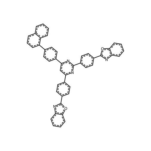 c1ccc2c(-c3ccc(-c4cc(-c5ccc(-c6nc7ccccc7o6)cc5)nc(-c5ccc(-c6nc7ccccc7o6)cc5)n4)cc3)cccc2c1